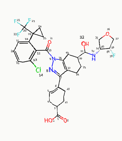 O=C(O)C1CC=C(c2nn(C(=O)c3c(Cl)cccc3C3(C(F)(F)F)CC3)c3c2CCC(C(O)N[C@@H]2COC[C@@H]2F)C3)CC1